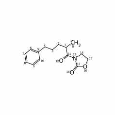 CC(CCCc1ccccc1)C(=O)N1CCOC1=O